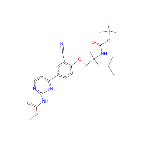 COC(=O)Nc1nccc(-c2ccc(OCC(C)(CC(C)C)NC(=O)OC(C)(C)C)c(C#N)c2)n1